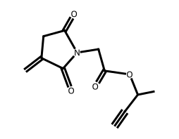 C#CC(C)OC(=O)CN1C(=O)CC(=C)C1=O